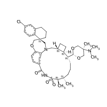 C[C@@H]1[C@@H](C)CCC[C@@H]([C@H]2OC[C@](C)(N(C)C)CO2)[C@@H]2CC[C@H]2CN2C[C@@]3(CCCc4cc(Cl)ccc43)COc3ccc(cc32)C(=O)NS1(=O)=O